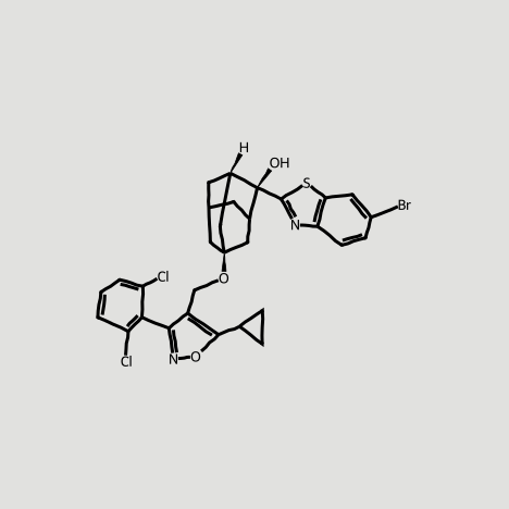 O[C@@]1(c2nc3ccc(Br)cc3s2)C2CC3C[C@H]1C[C@@](OCc1c(-c4c(Cl)cccc4Cl)noc1C1CC1)(C3)C2